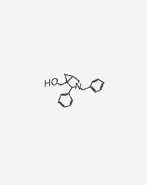 OCC12CC1CN(Cc1ccccc1)C2c1ccccc1